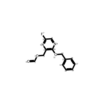 O=COCc1nc(F)cnc1OCc1ccccc1